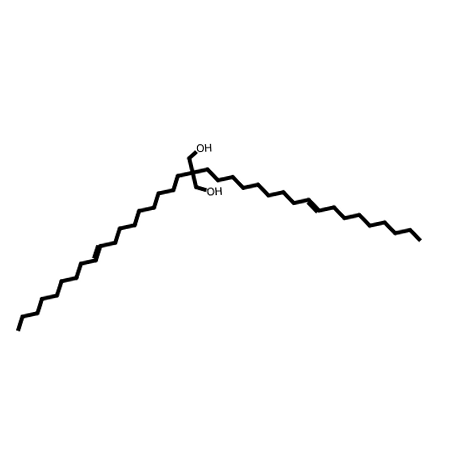 CCCCCCCCC=CCCCCCCCCC(CO)(CO)CCCCCCCCC=CCCCCCCCC